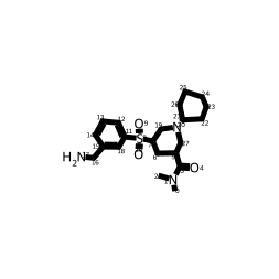 CN(C)C(=O)C1CC(S(=O)(=O)c2cccc(CN)c2)CN(C2CCCCC2)C1